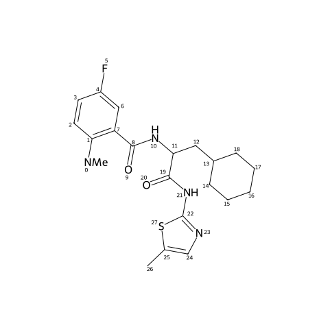 CNc1ccc(F)cc1C(=O)NC(CC1CCCCC1)C(=O)Nc1ncc(C)s1